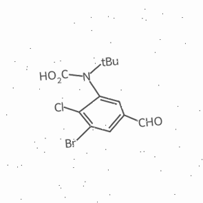 CC(C)(C)N(C(=O)O)c1cc(C=O)cc(Br)c1Cl